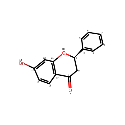 O=C1C[C@H](c2ccccc2)Oc2cc(Br)ccc21